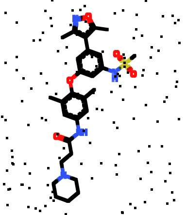 Cc1cc(NC(=O)CCN2CCCCC2)cc(C)c1Oc1cc(NS(C)(=O)=O)cc(-c2c(C)noc2C)c1